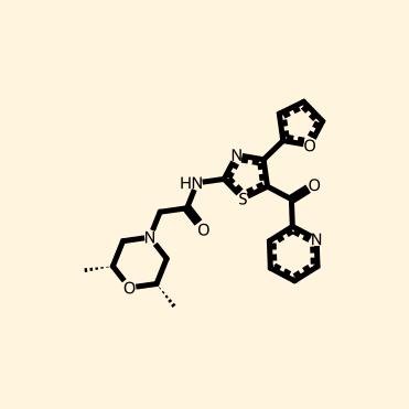 C[C@@H]1CN(CC(=O)Nc2nc(-c3ccco3)c(C(=O)c3ccccn3)s2)C[C@H](C)O1